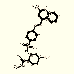 Cc1cc(COc2ccc(S(=O)(=O)N[C@@H]3CN(C=O)CCC3C(=O)NO)cc2)c2ccccc2n1